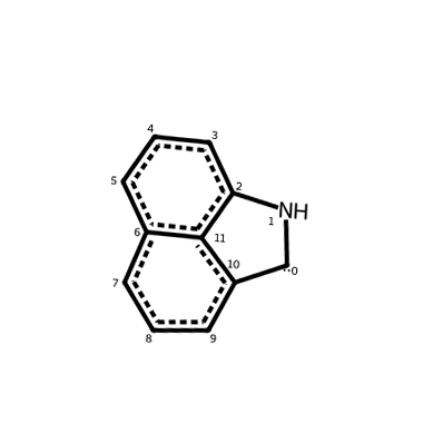 [C]1Nc2cccc3cccc1c23